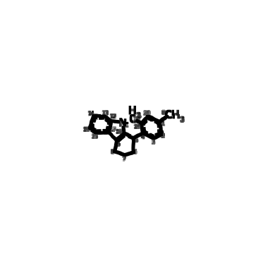 Cc1ccc(C2CCCC3=C2[N]c2ccccc23)c(C)c1